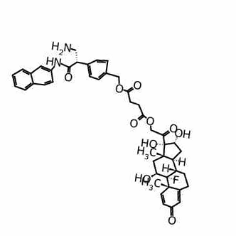 C[C@]12C=CC(=O)C=C1CC[C@H]1[C@@H]3C[C@@H](O)[C@](O)(C(=O)COC(=O)CCC(=O)OCc4ccc([C@@H](CN)C(=O)Nc5ccc6ccccc6c5)cc4)[C@@]3(C)C[C@H](O)[C@@]12F